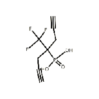 C#CCC(CC#C)(C(F)(F)F)P(=O)(O)O